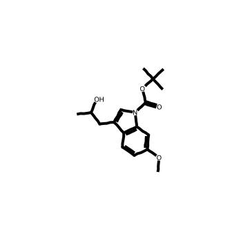 COc1ccc2c(CC(C)O)cn(C(=O)OC(C)(C)C)c2c1